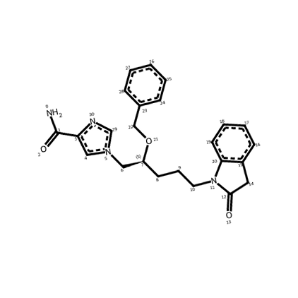 NC(=O)c1cn(C[C@H](CCCN2C(=O)Cc3ccccc32)OCc2ccccc2)cn1